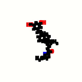 Cc1csc(C(=O)CCC[C@@H](C)[C@H]2CC[C@H]3/C(=C/C=C4C[C@@H](O)C[C@H](O)C4)CCC[C@]23C)n1